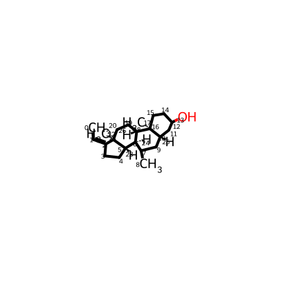 C/C=C1/CC[C@H]2[C@@H]3C(C)C[C@H]4CC(O)CC[C@]4(C)[C@H]3CC[C@]12C